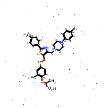 CCCc1cc(SCc2sc(-c3ccc(C(F)(F)F)cc3)nc2CN2CCN(c3ccc(C(C)=O)cc3)CC2)ccc1OC(C)C(=O)OCC